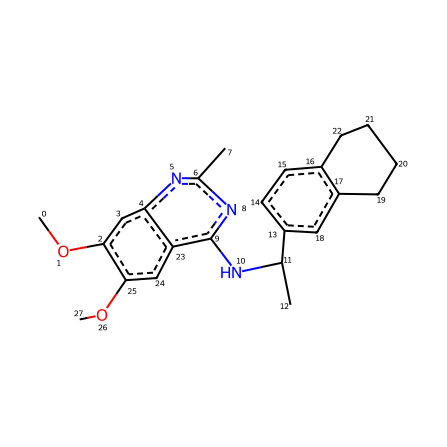 COc1cc2nc(C)nc(NC(C)c3ccc4c(c3)CCCC4)c2cc1OC